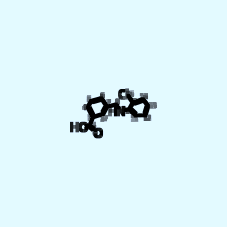 O=C(O)c1cccc(CNc2ccccc2Cl)c1